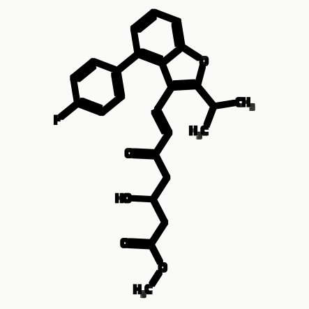 COC(=O)CC(O)CC(=O)C=Cc1c(C(C)C)oc2cccc(-c3ccc(F)cc3)c12